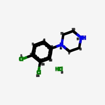 Cl.Clc1ccc(N2CCNCC2)cc1Cl